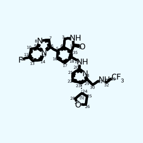 O=C1NCc2c(-c3cnc4cc(F)ccn34)ccc(Nc3ccc([C@@H]4CCOC4)c(CNCC(F)(F)F)n3)c21